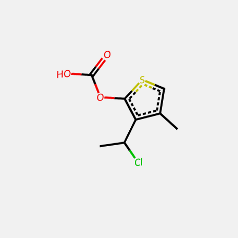 Cc1csc(OC(=O)O)c1C(C)Cl